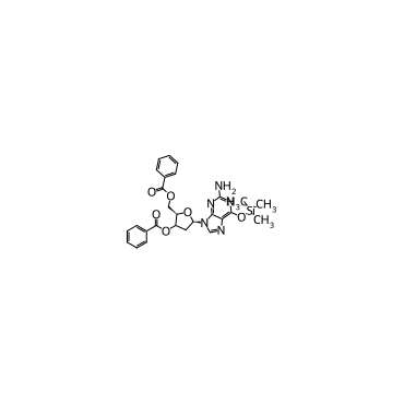 C[Si](C)(C)Oc1nc(N)nc2c1ncn2[C@H]1CC(OC(=O)c2ccccc2)[C@@H](COC(=O)c2ccccc2)O1